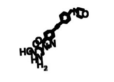 NCC(C(=O)NO)n1cnc2cc(C#Cc3ccc(CN4CCOCC4)cc3)ccc2c1=O